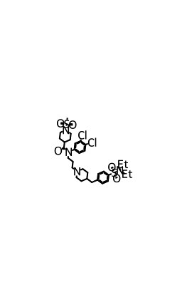 CCN(CC)S(=O)(=O)c1ccc(CC2CCN(CCCN(C(=O)C3CCN(S(C)(=O)=O)CC3)c3ccc(Cl)c(Cl)c3)CC2)cc1